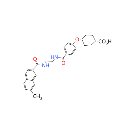 Cc1ccc2ccc(C(=O)NCCNC(=O)c3ccc(O[C@H]4CC[C@@H](C(=O)O)CC4)cc3)cc2c1